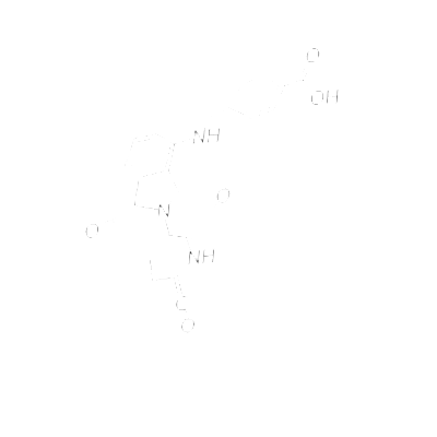 O=C=C1CCC(N2Cc3c(NCc4ccc(C(=O)O)cc4)cccc3C2=C=O)C(=C=O)N1